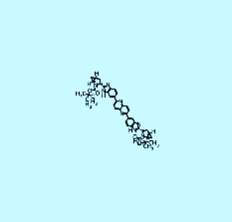 CC(C)(C)OC(=O)N1[C@@H]2C[C@@H]2C[C@H]1c1nc2ccc(-c3ccc4nc(-c5ccc6[nH]c([C@@H]7C[C@@H]8C[C@@]8(C(C)(C)C)N7C(=O)O)nc6c5)ccc4n3)cc2[nH]1